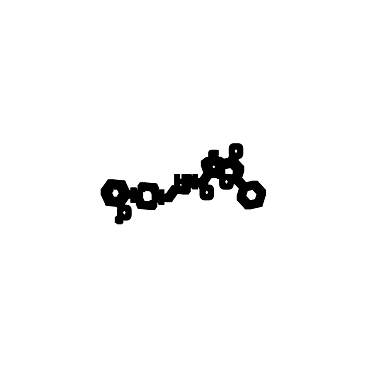 COc1ccccc1N1CCN(CCCNC(=O)c2csc3c(=O)cc(C4CCCCC4)oc23)CC1